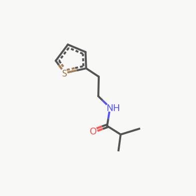 CC(C)C(=O)NCCc1cccs1